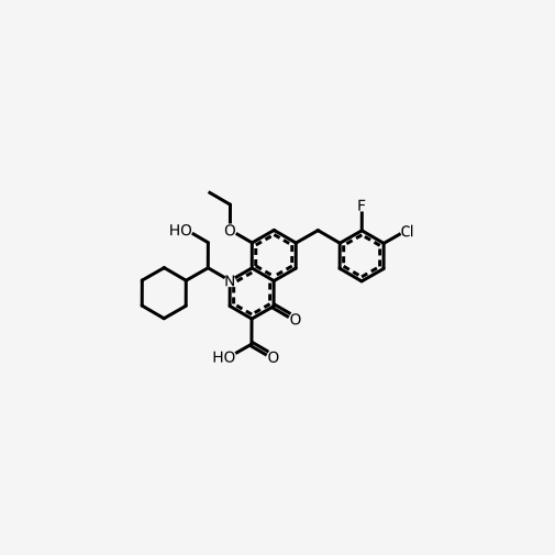 CCOc1cc(Cc2cccc(Cl)c2F)cc2c(=O)c(C(=O)O)cn(C(CO)C3CCCCC3)c12